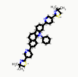 CC1(C)CSC(c2ccc(-c3ccc4c(ccc5c6ccc(-c7ccc(C8=NC(C)(C)CS8)cn7)cc6n(-c6ccccc6)c45)c3)nc2)=N1